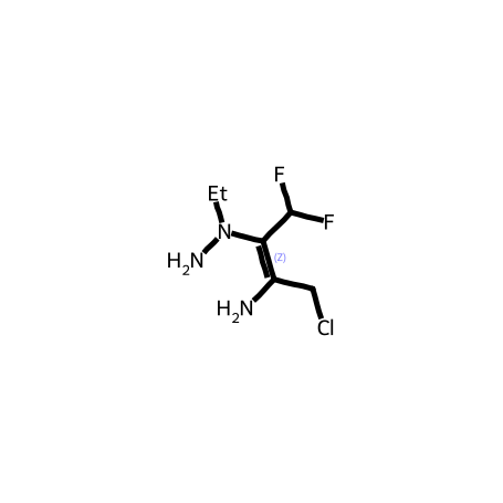 CCN(N)/C(=C(\N)CCl)C(F)F